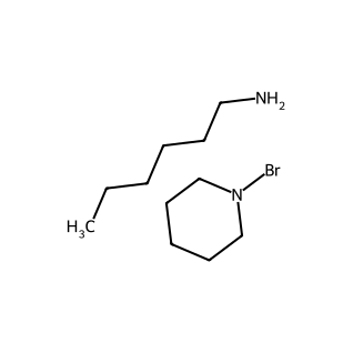 BrN1CCCCC1.CCCCCCN